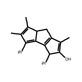 CC1=C(C)C2CC3=C(C2=C1C(C)C)C(C(C)C)C(O)=C3C